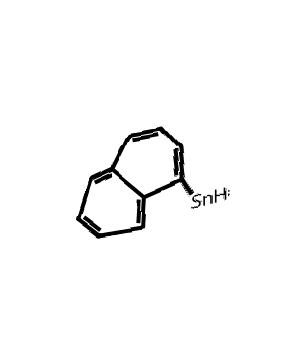 [SnH][c]1cccc2ccccc12